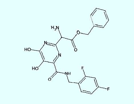 NC(C(=O)OCc1ccccc1)c1nc(O)c(O)c(C(=O)NCc2ccc(F)cc2F)n1